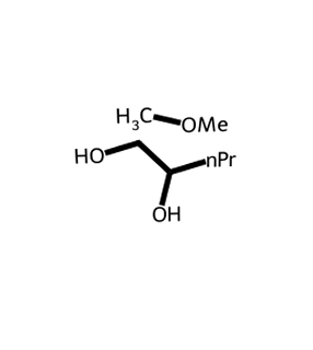 CCCC(O)CO.COC